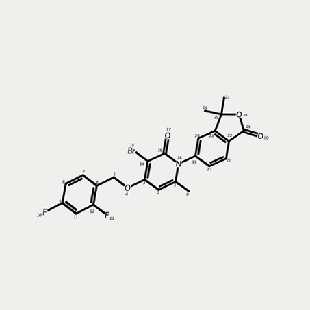 Cc1cc(OCc2ccc(F)cc2F)c(Br)c(=O)n1-c1ccc2c(c1)C(C)(C)OC2=O